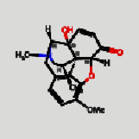 COc1ccc2c3c1O[C@H]1C(=O)C=C[C@@]4(O)[C@@H](C2)N(C)C[C@H](C)[C@]314